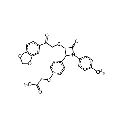 Cc1ccc(N2C(=O)C(SCC(=O)c3ccc4c(c3)OCO4)C2c2ccc(OCC(=O)O)cc2)cc1